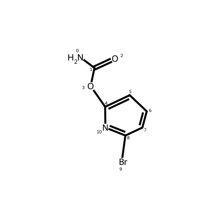 NC(=O)Oc1cccc(Br)n1